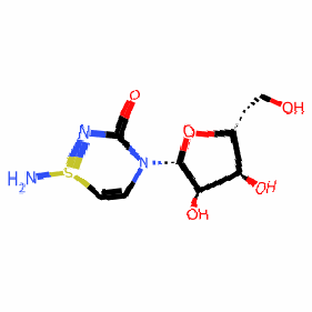 NS1=NC(=O)N([C@@H]2O[C@H](CO)[C@@H](O)[C@H]2O)C=C1